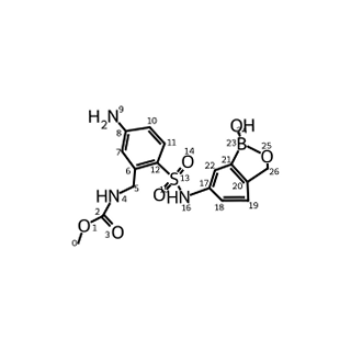 COC(=O)NCc1cc(N)ccc1S(=O)(=O)Nc1ccc2c(c1)B(O)OC2